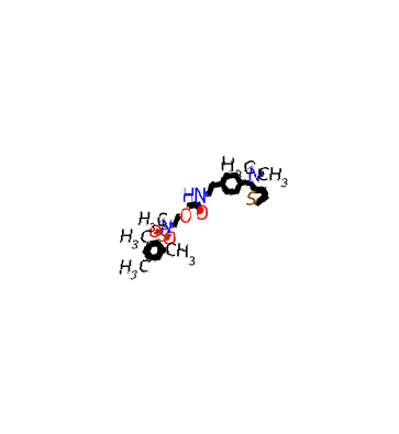 Cc1cc(C)c(S(=O)(=O)N(C)CCOCC(=O)NCCC2CCC(C(c3cccs3)N(C)C)CC2)c(C)c1